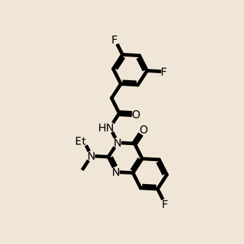 CCN(C)c1nc2cc(F)ccc2c(=O)n1NC(=O)Cc1cc(F)cc(F)c1